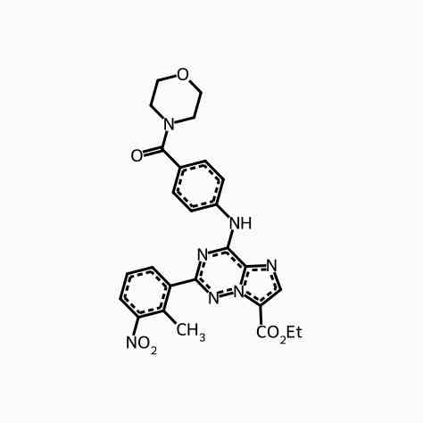 CCOC(=O)c1cnc2c(Nc3ccc(C(=O)N4CCOCC4)cc3)nc(-c3cccc([N+](=O)[O-])c3C)nn12